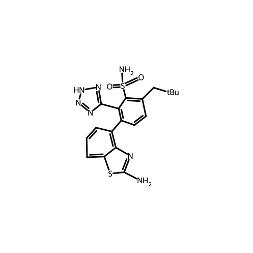 CC(C)(C)Cc1ccc(-c2cccc3sc(N)nc23)c(-c2nn[nH]n2)c1S(N)(=O)=O